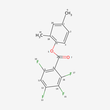 Cc1ccc(OC(=O)c2c(F)cc(F)c(F)c2F)c(C)c1